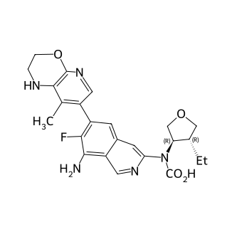 CC[C@H]1COC[C@@H]1N(C(=O)O)c1cc2cc(-c3cnc4c(c3C)NCCO4)c(F)c(N)c2cn1